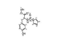 CCCOC(=O)C(Cc1ccc(O)cc1)N[PH](=O)n1ccnc1